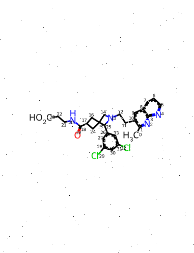 Cc1nc2ncccc2cc1CCN1CC2(CC(C(=O)NCCC(=O)O)C2)C1c1cc(Cl)cc(Cl)c1